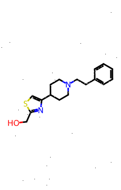 OCc1nc(C2CCN(CCc3ccccc3)CC2)cs1